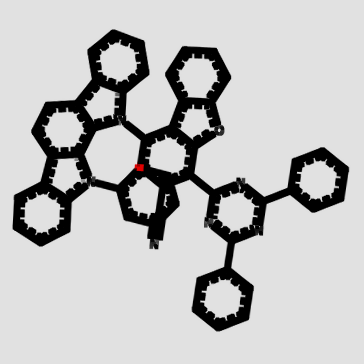 N#Cc1cc(-n2c3ccccc3c3ccc4c5ccccc5n(-c5ccccc5)c4c32)c2c(oc3ccccc32)c1-c1nc(-c2ccccc2)nc(-c2ccccc2)n1